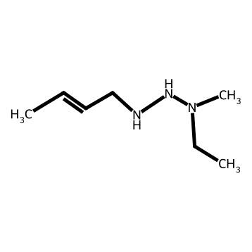 CC=CCNNN(C)CC